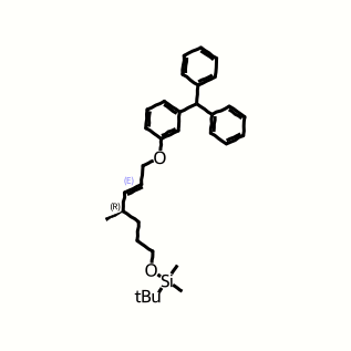 C[C@@H](/C=C/COc1cccc(C(c2ccccc2)c2ccccc2)c1)CCCO[Si](C)(C)C(C)(C)C